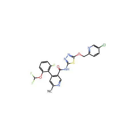 N#Cc1cc(-c2c(F)cccc2OC(F)F)c(C(=O)Nc2nnc(OCc3ccc(Cl)cn3)s2)cn1